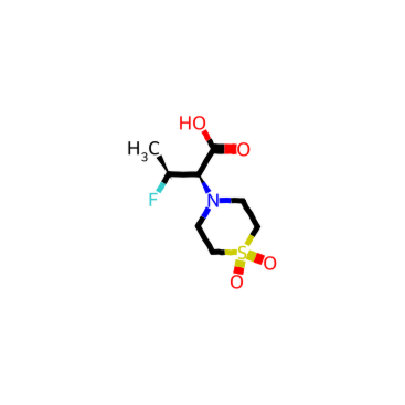 C[C@H](F)[C@@H](C(=O)O)N1CCS(=O)(=O)CC1